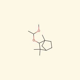 COC(C)OC1C2(C)CCC(C2)C1(C)C